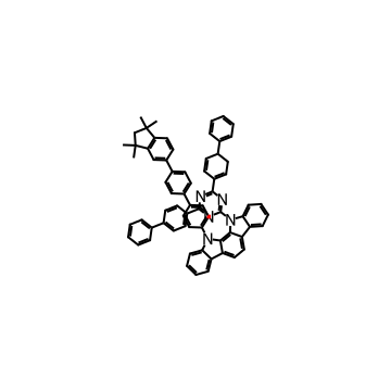 CC1(C)CC(C)(C)c2cc(-c3ccc(-c4ccc(-n5c6ccccc6c6ccc7c8ccccc8n(-c8nc(C9=CCC(c%10ccccc%10)C=C9)nc(-c9ccc(-c%10ccccc%10)cc9)n8)c7c65)cc4)cc3)ccc21